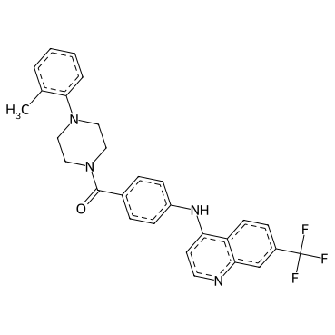 Cc1ccccc1N1CCN(C(=O)c2ccc(Nc3ccnc4cc(C(F)(F)F)ccc34)cc2)CC1